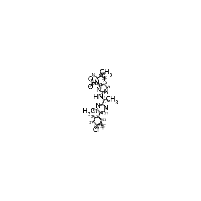 Cc1nc([C@H](C)Nc2nccc(N3C(=O)OCC3[C@H](C)F)n2)ncc1-c1ccc(Cl)c(F)c1